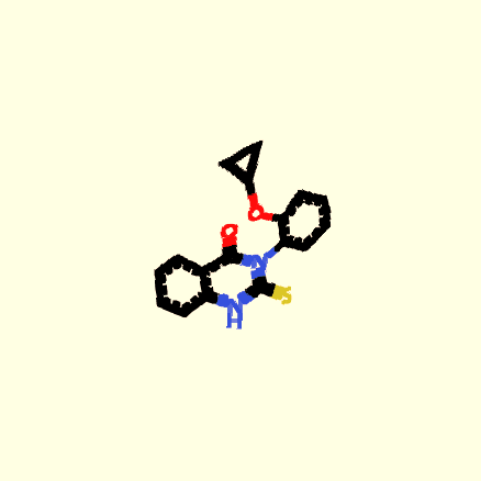 O=c1c2ccccc2[nH]c(=S)n1-c1ccccc1OC1CC1